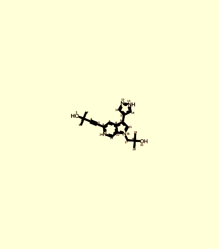 CC(C)(O)C#Cc1cc2c(-c3cn[nH]c3)cn(CC(C)(C)O)c2cn1